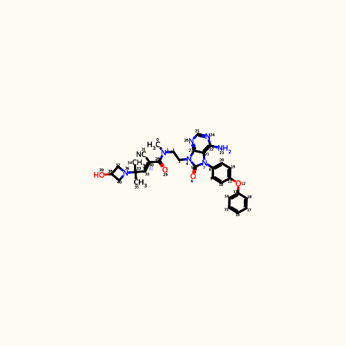 CN(CCn1c(=O)n(-c2ccc(Oc3ccccc3)cc2)c2c(N)ncnc21)C(=O)/C(C#N)=C/C(C)(C)N1CC(O)C1